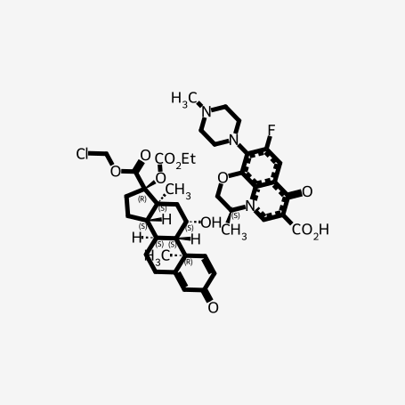 CCOC(=O)O[C@]1(C(=O)OCCl)CC[C@H]2[C@@H]3CCC4=CC(=O)C=C[C@]4(C)[C@H]3[C@@H](O)C[C@@]21C.C[C@H]1COc2c(N3CCN(C)CC3)c(F)cc3c(=O)c(C(=O)O)cn1c23